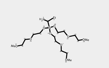 CCC(N)[Si](OCCOCCOC)(OCCOCCOC)OCCOCCOC